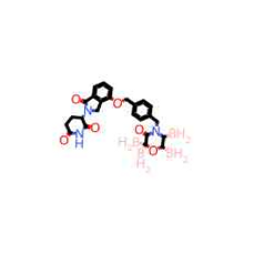 BC1OC(B)(B)C(=O)N(Cc2ccc(COc3cccc4c3CN(C3CCC(=O)NC3=O)C4=O)cc2)C1B